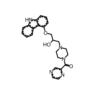 O=C(c1cnccn1)N1CCN(CC(O)COc2cccc3[nH]c4ccccc4c23)CC1